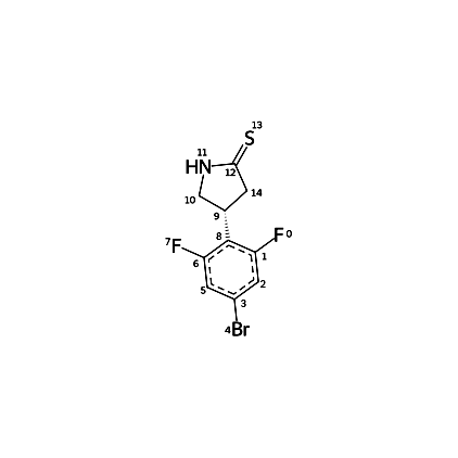 Fc1cc(Br)cc(F)c1[C@@H]1CNC(=S)C1